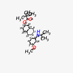 COc1ccc([C@H]2CCc3cc(OC(=O)C(C)(C)C)ccc3C2)c(NC(C)C)c1